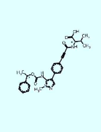 CC(C)[C@@H](NC(=O)C#Cc1ccc(-c2cnn(C)c2NC(=O)O[C@H](C)c2ccccc2)cc1)C(=O)O